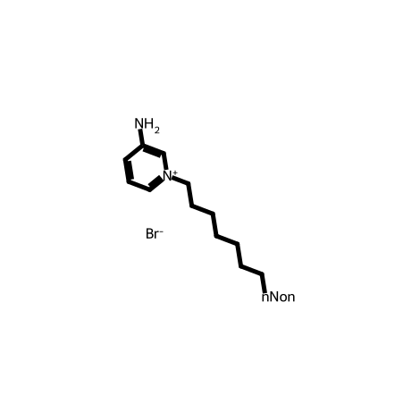 CCCCCCCCCCCCCCCC[n+]1cccc(N)c1.[Br-]